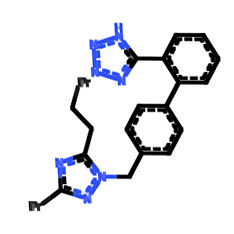 CC(C)CCc1nc(C(C)C)nn1Cc1ccc(-c2ccccc2-c2nnn[nH]2)cc1